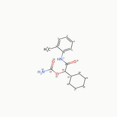 Cc1ccccc1NC(=O)C(OC(N)=O)C1CCCCC1